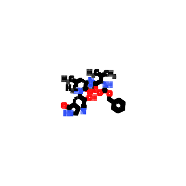 CC(C)C[C@H](NC(=O)[C@@H](NC(=O)OCc1ccccc1)C(C)C)C(=O)N[C@@H](C[C@@H]1CCNC1=O)C(O)C#N